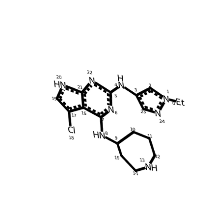 CCn1cc(Nc2nc(NC3CCCNCC3)c3c(Cl)c[nH]c3n2)cn1